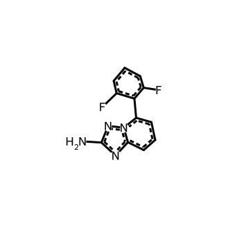 Nc1nc2cccc(-c3c(F)cccc3F)n2n1